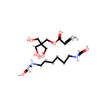 C=CC(=O)OCC(CO)(CO)CO.O=C=NCCCCCCN=C=O